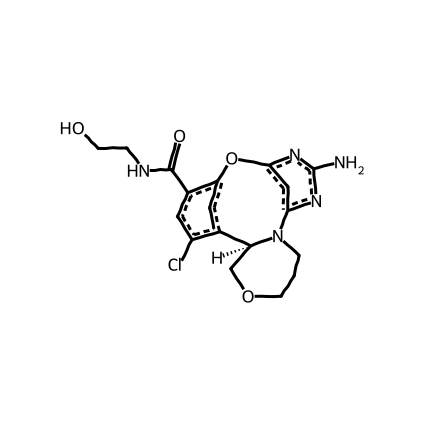 Nc1nc2cc(n1)N1CCCOC[C@H]1c1cc(c(C(=O)NCCO)cc1Cl)O2